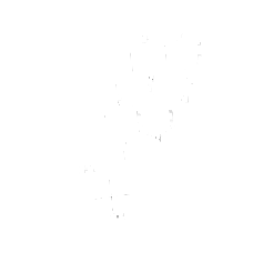 Cc1cc(=O)c2c(OC[C@@H](O)C(C)(C)O)ncc(Cl)c2n1-c1c(Cl)cccc1Cl